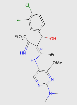 CCOC(=O)C(=N)/C(=C(\Nc1cnc(N(C)C)nc1OC)C(C)C)C(O)c1ccc(Cl)c(F)c1